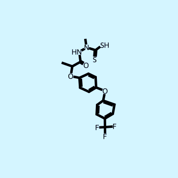 CC(Oc1ccc(Oc2ccc(C(F)(F)F)cc2)cc1)C(=O)NN(C)C(=S)S